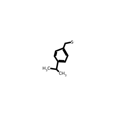 CC(C)c1ccc(C[S])cc1